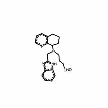 O=CCCCN(Cc1nc2ccccc2[nH]1)C1CCCc2cccnc21